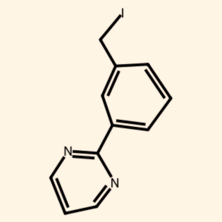 ICc1cccc(-c2ncccn2)c1